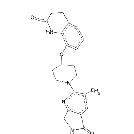 Cc1cc2c(nc1N1CCC(Oc3cccc4c3NC(=O)CC4)CC1)CNC2=O